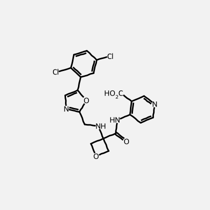 O=C(O)c1cnccc1NC(=O)C1(NCc2ncc(-c3cc(Cl)ccc3Cl)o2)COC1